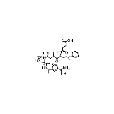 CC(NC(=O)[C@@H]1C[C@]2(C)C[C@@H]2N1C(=O)CNC(=O)C(CCOc1ccccc1)NC(=O)CCC(=O)O)c1cc(C(=N)N)cs1